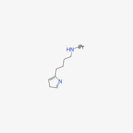 CC(C)NCCCCC1=CCC=N1